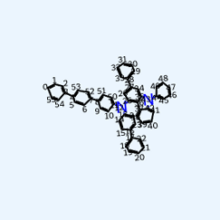 c1ccc(-c2ccc(-c3ccc(N(c4ccc(-c5ccccc5)cc4)c4cc(-c5ccccc5)cc5c4c4ccccc4n5-c4ccccc4)cc3)cc2)cc1